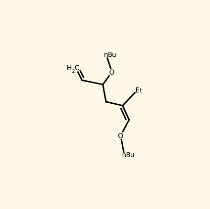 C=CC(CC(=COCCCC)CC)OCCCC